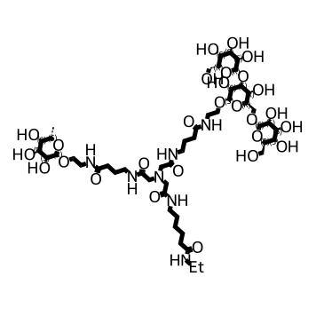 CCNC(=O)CCCCCNC(=O)CN(CC(=O)NCCCC(=O)NCCO[C@@H]1O[C@@H](C)[C@@H](O)[C@@H](O)[C@@H]1O)CC(=O)NCCCC(=O)NCCO[C@H]1O[C@H](CO[C@H]2O[C@H](CO)[C@@H](O)[C@H](O)[C@@H]2O)[C@@H](O)[C@H](O[C@H]2O[C@H](CO)[C@@H](O)[C@H](O)[C@@H]2O)[C@@H]1O